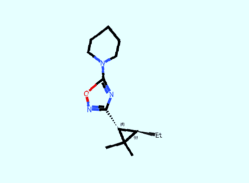 CC[C@@H]1[C@@H](c2noc(N3CCCCC3)n2)C1(C)C